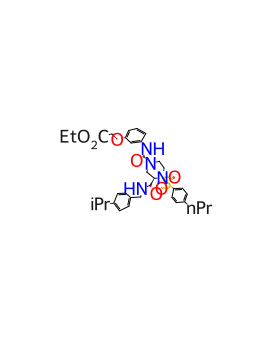 CCCc1ccc(S(=O)(=O)N2CCN(C(=O)Nc3cccc(OCC(=O)OCC)c3)C[C@@H]2C(=O)NCc2ccc(C(C)C)cc2)cc1